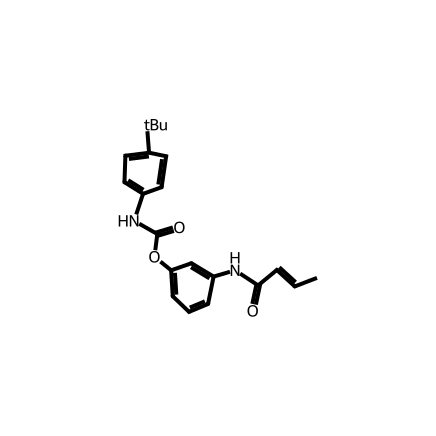 CC=CC(=O)Nc1cccc(OC(=O)Nc2ccc(C(C)(C)C)cc2)c1